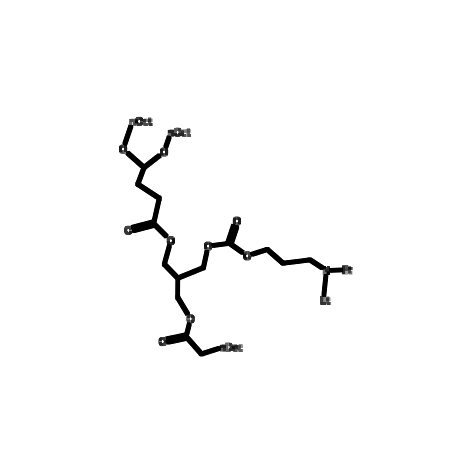 CCCCCCCCCCCC(=O)OCC(COC(=O)CCC(OCCCCCCCC)OCCCCCCCC)COC(=O)OCCCN(CC)CC